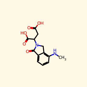 CNc1cccc2c1CN(C(CC(=O)O)C(=O)O)C2=O